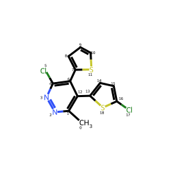 Cc1nnc(Cl)c(-c2cccs2)c1-c1ccc(Cl)s1